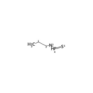 CCCN=[PH]=S